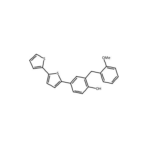 COc1ccccc1Cc1cc(-c2ccc(-c3cccs3)s2)ccc1O